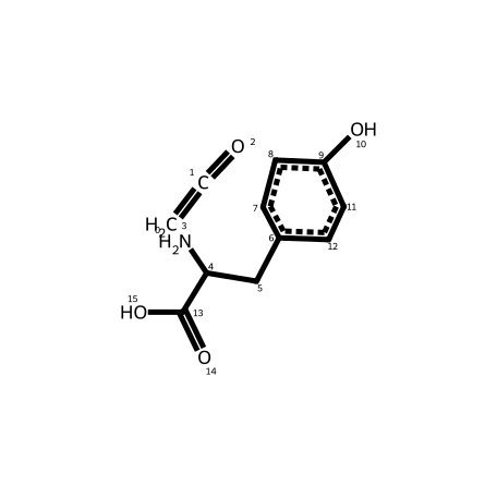 C=C=O.NC(Cc1ccc(O)cc1)C(=O)O